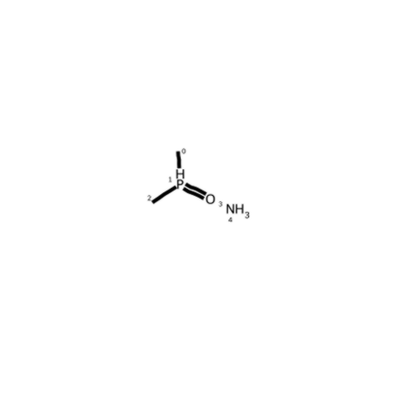 C[PH](C)=O.N